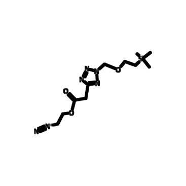 C[Si](C)(C)CCOCn1nnc(CC(=O)OCC[N+]#N)n1